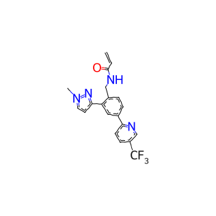 C=CC(=O)NCc1ccc(-c2ccc(C(F)(F)F)cn2)cc1-c1ccn(C)n1